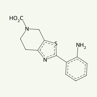 Nc1ccccc1-c1nc2c(s1)CN(C(=O)O)CC2